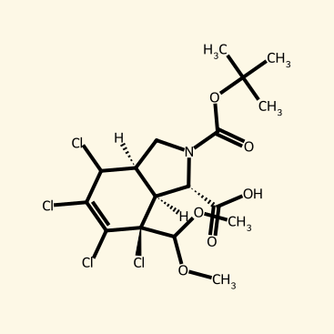 COC(OC)[C@]1(Cl)C(Cl)=C(Cl)C(Cl)[C@H]2CN(C(=O)OC(C)(C)C)[C@H](C(=O)O)[C@H]21